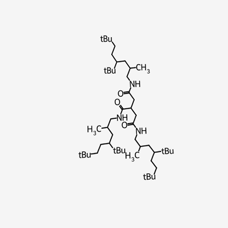 CC(CNC(=O)CC(CC(=O)NCC(C)CC(CCC(C)(C)C)C(C)(C)C)C(=O)NCC(C)CC(CCC(C)(C)C)C(C)(C)C)CC(CCC(C)(C)C)C(C)(C)C